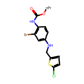 CCCOC(=O)Nc1ccc(NCc2ccc(Cl)s2)cc1Br